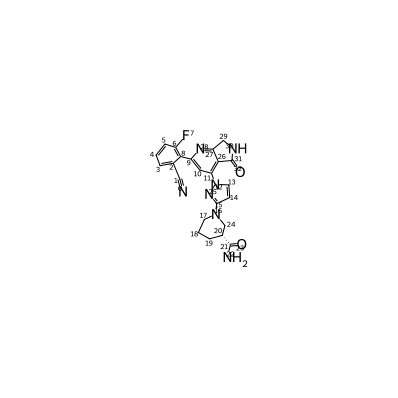 N#Cc1cccc(F)c1-c1cc(-n2ccc(N3CCC[C@@H](C(N)=O)C3)n2)c2c(n1)CNC2=O